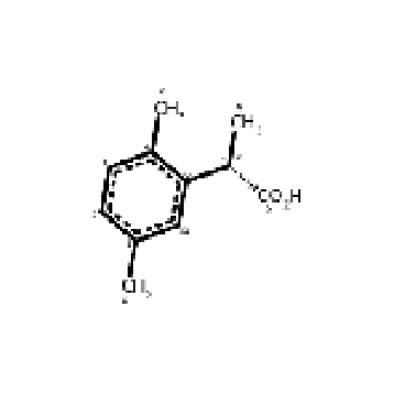 Cc1ccc(C)c([C@H](C)C(=O)O)c1